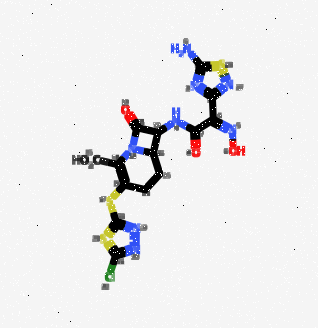 Nc1nc(/C(=N/O)C(=O)NC2C(=O)N3C(C(=O)O)=C(Sc4nnc(Cl)s4)CCC23)ns1